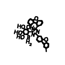 Bc1c(O)c(O)c(O)c(O)c1-c1nc(-c2ccc3c(c2)oc2ccc(C)cc23)nc(-c2cccc3oc4ccccc4c23)n1